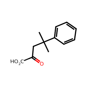 CC(C)(CC(=O)C(=O)O)c1ccccc1